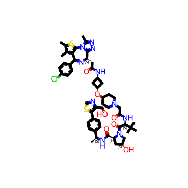 Cc1sc2c(c1C)C(c1ccc(Cl)cc1)=N[C@@H](CC(=O)N[C@H]1C[C@H](OC3CCN(CC(=O)N[C@H](C(=O)N4C[C@H](O)C[C@H]4C(=O)N[C@@H](C)c4ccc(-c5scnc5CO)cc4)C(C)(C)C)CC3)C1)c1nnc(C)n1-2